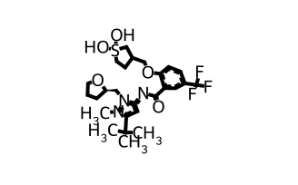 Cn1c(C(C)(C)C)c/c(=N\C(=O)c2cc(C(F)(F)F)ccc2OCC2CCS(O)(O)C2)n1C[C@H]1CCCO1